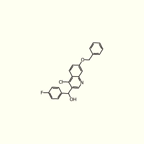 OC(c1ccc(F)cc1)c1cnc2cc(OCc3ccccc3)ccc2c1Cl